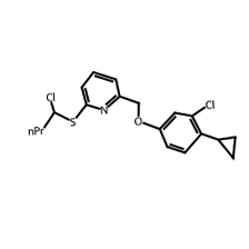 CCCC(Cl)Sc1cccc(COc2ccc(C3CC3)c(Cl)c2)n1